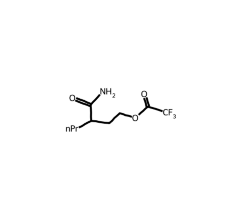 CCCC(CCOC(=O)C(F)(F)F)C(N)=O